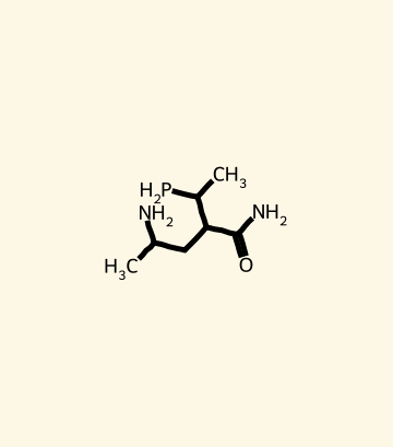 CC(N)CC(C(N)=O)C(C)P